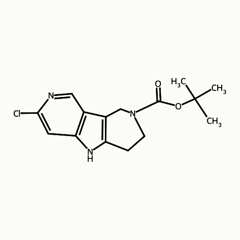 CC(C)(C)OC(=O)N1CCc2[nH]c3cc(Cl)ncc3c2C1